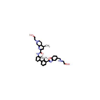 Cc1cc(C(=O)Nc2cccc(-c3cccc(-c4nc5cc(CNCCO)ccc5o4)c3C)c2C)nc2c1CCN(CCO)C2